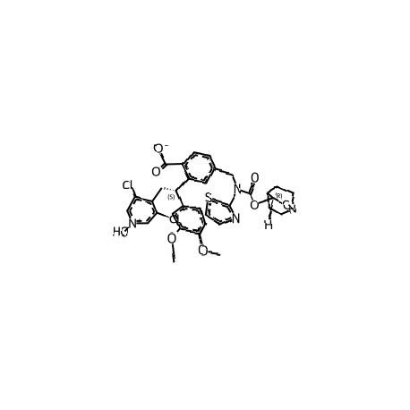 COc1ccc([C@H](Cc2c(Cl)c[n+](O)cc2Cl)c2cc(CN(C(=O)O[C@H]3CN4CCC3CC4)c3nccs3)ccc2C(=O)[O-])cc1OC